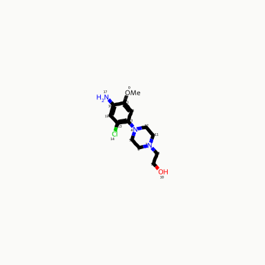 COc1cc(N2CCN(CCO)CC2)c(Cl)cc1N